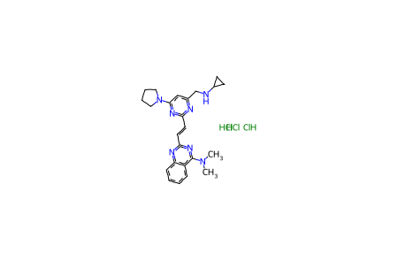 CN(C)c1nc(/C=C/c2nc(CNC3CC3)cc(N3CCCC3)n2)nc2ccccc12.Cl.Cl.Cl